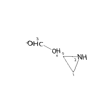 C1CN1.O=[C]O